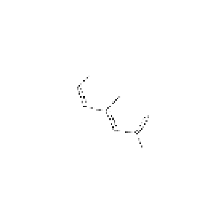 C=C(C)/C=C(C)/C=[C]\C